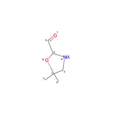 CC1(C)CNC(C=O)O1